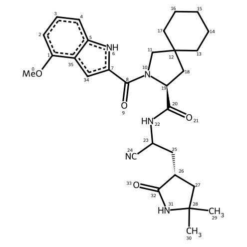 COc1cccc2[nH]c(C(=O)N3CC4(CCCCC4)C[C@H]3C(=O)NC(C#N)C[C@@H]3CC(C)(C)NC3=O)cc12